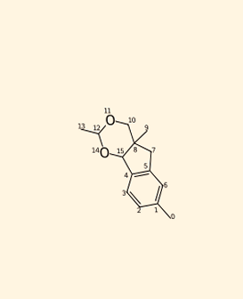 Cc1ccc2c(c1)CC1(C)COC(C)OC21